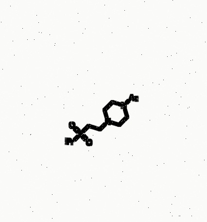 CC(=O)N1CCN(CCS(=O)(=O)C(C)C)CC1